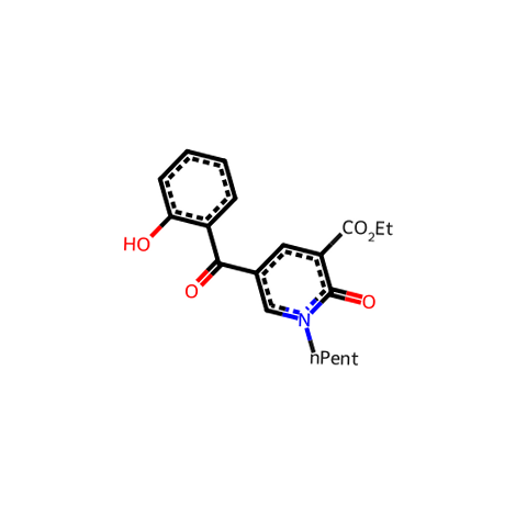 CCCCCn1cc(C(=O)c2ccccc2O)cc(C(=O)OCC)c1=O